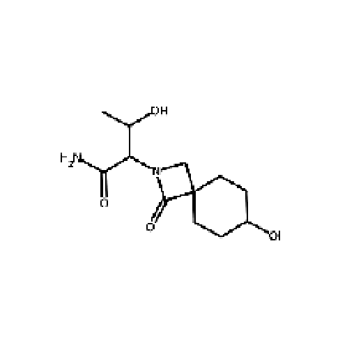 CC(O)C(C(N)=O)N1CC2(CCC(O)CC2)C1=O